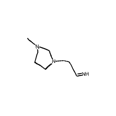 CN1CCN(CC=N)C1